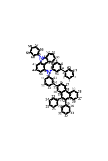 c1ccc(-c2cccc(N(c3cccc(-c4ccc5c(c4)c(-c4ccccc4)c(-c4ccccc4)c4ccccc45)c3)c3cccc4c3c3ccccc3n4-c3ccccc3)c2)cc1